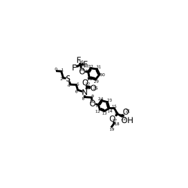 CCCSCCCN(CCOc1ccc(CC(OCC)C(=O)O)cc1)C(=O)Oc1ccccc1OC(F)(F)F